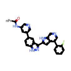 CCCC(=O)Nc1cncc(-c2ccc3[nH]nc(-c4cc5c(-c6ccccc6F)cncc5[nH]4)c3c2)c1